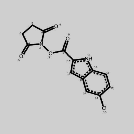 O=C(ON1C(=O)CCC1=O)c1cc2cc(Cl)ccc2[nH]1